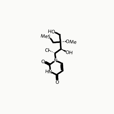 CO[C@@](CO)(CSC)[C@@H](O)[C@@H](Cl)n1ccc(=O)[nH]c1=O